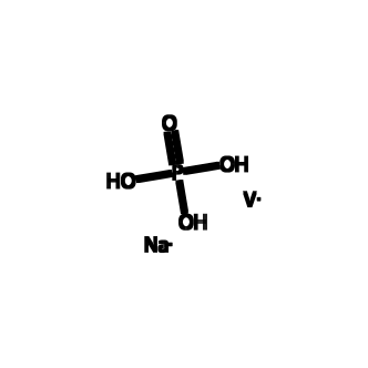 O=P(O)(O)O.[Na].[V]